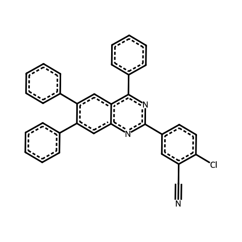 N#Cc1cc(-c2nc(-c3ccccc3)c3cc(-c4ccccc4)c(-c4ccccc4)cc3n2)ccc1Cl